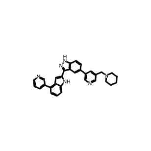 c1cncc(-c2cccc3[nH]c(-c4n[nH]c5ccc(-c6cncc(CN7CCCCC7)c6)cc45)cc23)c1